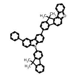 CC1(C)c2ccccc2-c2ccc(-n3c4ccc(-c5ccccc5)cc4c4cc(-c5ccc6c(c5)-c5ccc7oc8ccccc8c7c5C6(C)C)ccc43)cc21